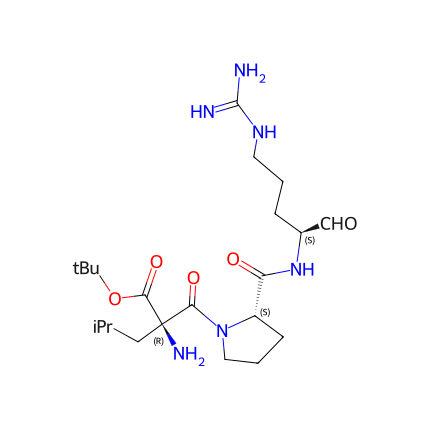 CC(C)C[C@](N)(C(=O)OC(C)(C)C)C(=O)N1CCC[C@H]1C(=O)N[C@H](C=O)CCCNC(=N)N